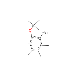 Cc1[c]c(O[Si](C)(C)C)c(C(C)(C)C)c(C)c1C